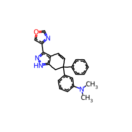 CN(C)c1cccc(C2(c3ccccc3)C=Cc3c(-c4cocn4)n[nH]c3C2)c1